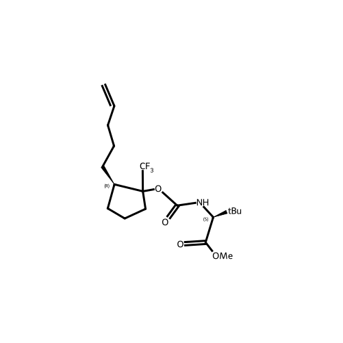 C=CCCC[C@@H]1CCCC1(OC(=O)N[C@H](C(=O)OC)C(C)(C)C)C(F)(F)F